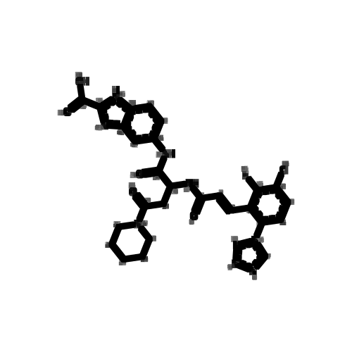 O=C(C=Cc1c(-n2cnnn2)ccc(Cl)c1F)NC(CC(=O)N1CCCCC1)C(=O)Nc1ccc2[nH]c(C(=O)O)nc2c1